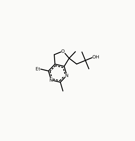 CCc1nc(C)nc2c1COC2(C)CC(C)(C)O